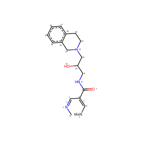 C/N=C\C(=C/NC)C(=O)NCC(O)CN1CCc2ccccc2C1